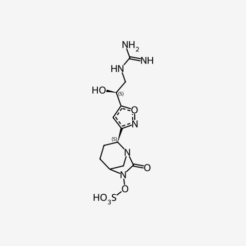 N=C(N)NC[C@H](O)c1cc([C@@H]2CCC3CN2C(=O)N3OS(=O)(=O)O)no1